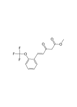 COC(=O)CC(=O)C=Cc1ccccc1OC(F)(F)F